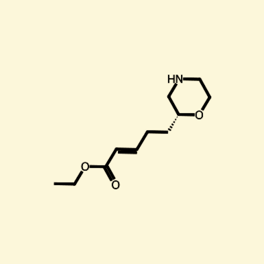 CCOC(=O)C=CCC[C@@H]1CNCCO1